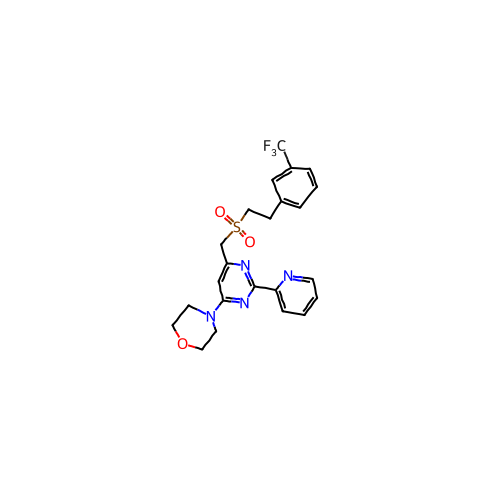 O=S(=O)(CCc1cccc(C(F)(F)F)c1)Cc1cc(N2CCOCC2)nc(-c2ccccn2)n1